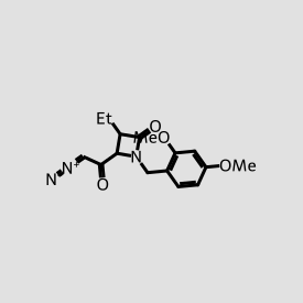 CCC1C(=O)N(Cc2ccc(OC)cc2OC)C1C(=O)C=[N+]=[N-]